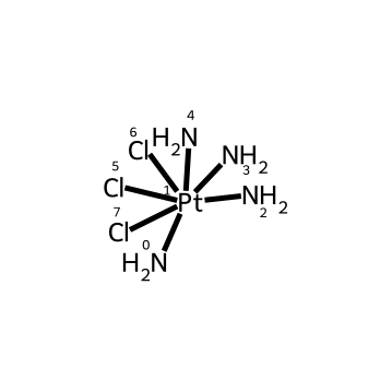 [NH2][Pt]([NH2])([NH2])([NH2])([Cl])([Cl])[Cl]